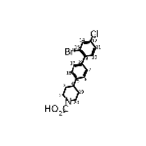 O=C(O)N1CCC(c2ccc(-c3ccc(Cl)cc3Br)cc2)CC1